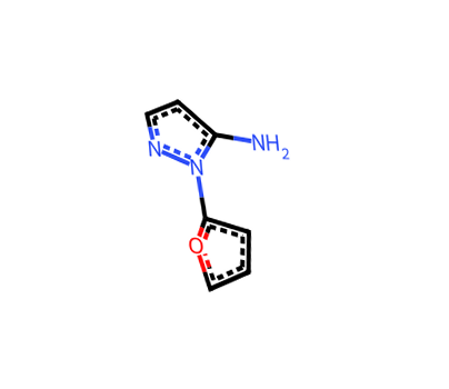 Nc1ccnn1-c1ccco1